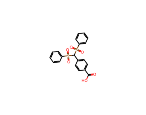 O=C(O)c1ccc(C(S(=O)(=O)c2ccccc2)S(=O)(=O)c2ccccc2)cc1